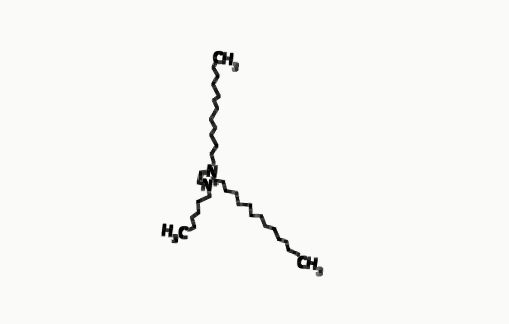 CCCCCCCCCCCCCCc1n(CCCCCCCCCCCCC)cc[n+]1CCCCCC